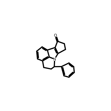 O=C1CCc2c1c1cccc3c1n2C(c1ccccc1)CC3